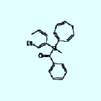 C/C=C\C(=C/CC)[Si](C)(C(=O)c1ccccc1)C1=CC=CCC=C1